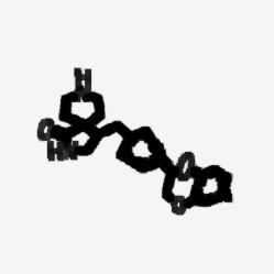 O=C1NCC(Cc2ccc(C3COc4ccccc4O3)cc2)C12CCNCC2